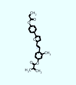 C=CC(=O)Oc1ccc(-c2ccc(/C=C/c3ccc(OC(=O)C(=C)C)cc3C)o2)cc1